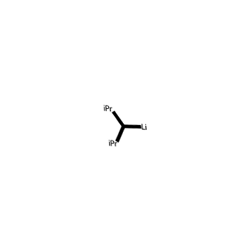 [Li][CH](C(C)C)C(C)C